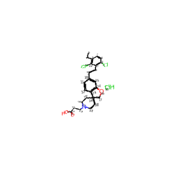 CCc1ccc(Cl)c(C=Cc2ccc3c(c2)OCC32CCN(CCC(=O)O)CC2)c1Cl.Cl